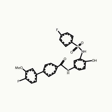 COc1cc(-c2ccc(C(=O)Nc3ccc(O)c(NS(=O)(=O)c4ccc(F)cc4)c3)cc2)ccc1F